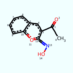 CC(=O)c1cc2ccccc2oc1=NO